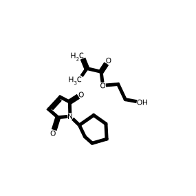 C=C(C)C(=O)OCCO.O=C1C=CC(=O)N1C1CCCCC1